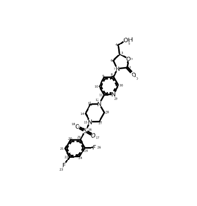 O=C1OC(CO)CN1c1ccc(N2CCN(S(=O)(=O)c3ccc(F)cc3F)CC2)nc1